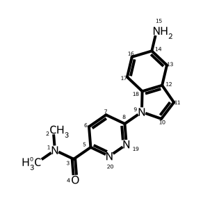 CN(C)C(=O)c1ccc(-n2ccc3cc(N)ccc32)nn1